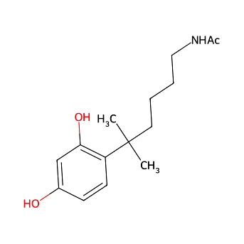 CC(=O)NCCCCC(C)(C)c1ccc(O)cc1O